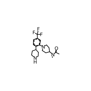 CC(=O)N(C)C1CCN(c2cc(C(F)(F)F)ccc2C2CCNCC2)CC1